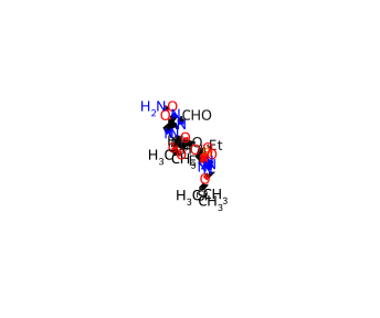 CCOP(=O)(OCC)[C@@](COC)(Cc1nnn(COCC[Si](C)(C)C)n1)OCC1O[C@@H](n2ncc3c(OC(N)=O)nc(C=O)nc32)[C@@H]2OC(C)(C)O[C@H]12